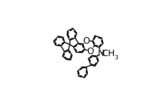 CN(c1ccc(-c2ccccc2)cc1)c1cccc2c1Oc1ccc3c(c1O2)-c1ccccc1C31c2ccccc2-c2ccccc21